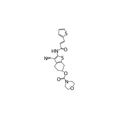 N#Cc1c(NC(=O)C=Cc2cccs2)sc2c1CCC(OC(=O)N1CCOCC1)C2